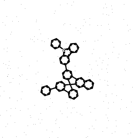 c1ccc(-c2ccc3c(c2)-c2ccccc2C32c3ccc(-c4ccc5c(c4)c4ccccc4n5-c4ccccc4)cc3-c3cc4ccccc4cc32)cc1